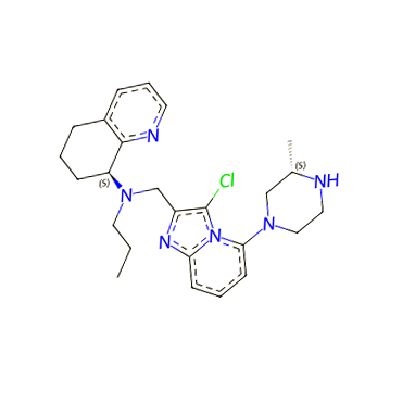 CCCN(Cc1nc2cccc(N3CCN[C@@H](C)C3)n2c1Cl)[C@H]1CCCc2cccnc21